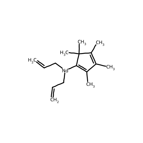 C=C[CH2][Nd]([CH2]C=C)[C]1=C(C)C(C)=C(C)C1(C)C